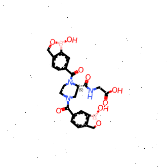 O=C(O)CNC(=O)[C@@H]1CN(C(=O)c2ccc3c(c2)B(O)OC3)CCN1C(=O)c1ccc2c(c1)B(O)OC2